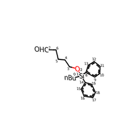 CCCC[Si](OCCCCC=O)(c1ccccc1)c1ccccc1